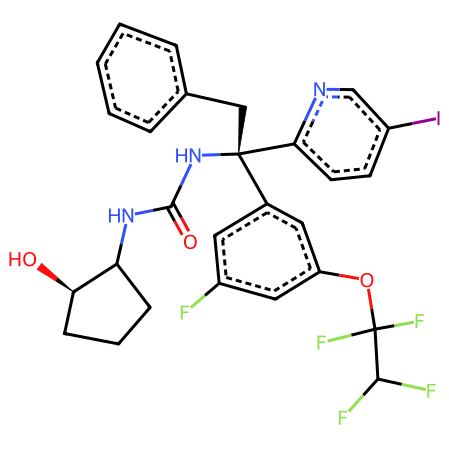 O=C(NC1CCC[C@H]1O)N[C@@](Cc1ccccc1)(c1cc(F)cc(OC(F)(F)C(F)F)c1)c1ccc(I)cn1